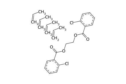 C=CC.C=CC.C=CC.C=CC.O=C(OCCOC(=O)c1ccccc1Cl)c1ccccc1Cl